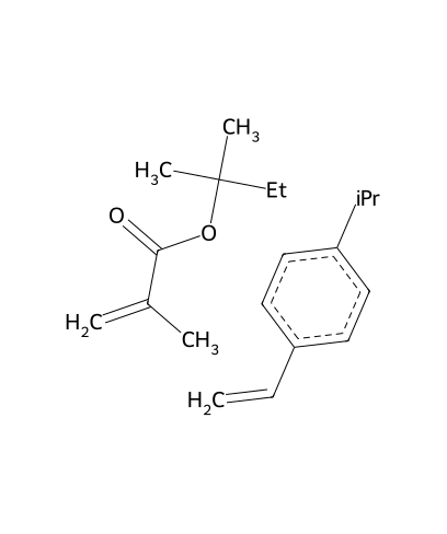 C=C(C)C(=O)OC(C)(C)CC.C=Cc1ccc(C(C)C)cc1